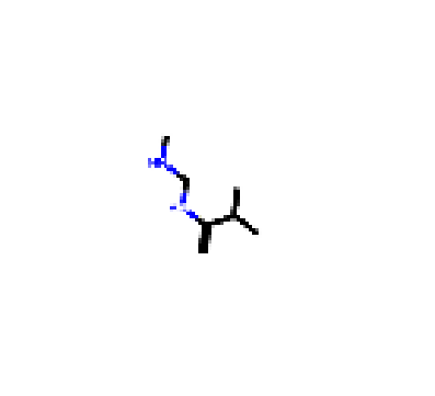 C=C(NCNC)C(C)C